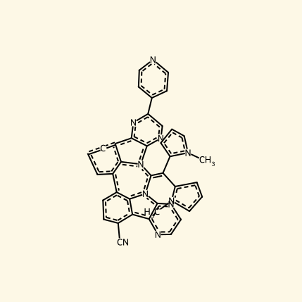 Cn1cccc1C(c1cccn1C)=c1n2c3ncc(-c4ccncc4)nc3c3cccc(c4ccc(C#N)c5c6nccnc6n1c45)c32